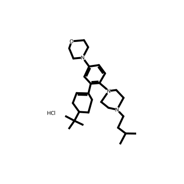 CC(C)CCN1CCN(c2ccc(N3CCOCC3)cc2C2=CCC(C(C)(C)C)CC2)CC1.Cl